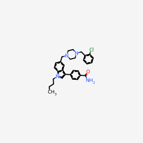 CCCCn1cc(-c2ccc(C(N)=O)cc2)c2cc(CN3CCN(Cc4ccccc4Cl)CC3)ccc21